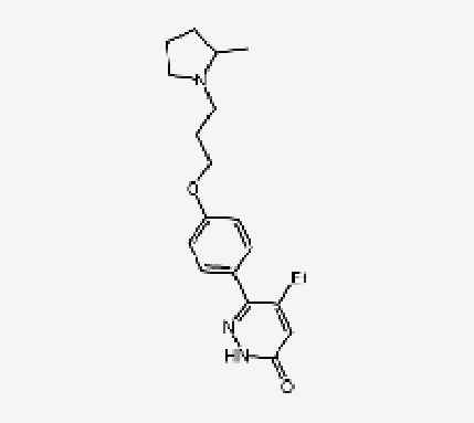 CCc1cc(=O)[nH]nc1-c1ccc(OCCCN2CCCC2C)cc1